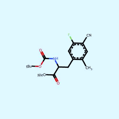 COC(=O)C(Cc1cc(F)c(C#N)cc1C)NC(=O)OC(C)(C)C